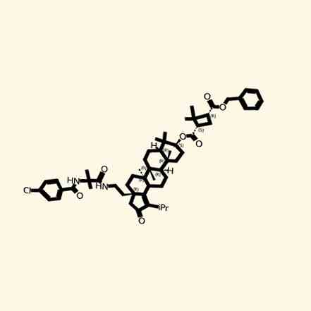 CC(C)C1=C2C3CC[C@@H]4[C@@]5(C)CC[C@H](OC(=O)[C@H]6C[C@@H](C(=O)OCc7ccccc7)C6(C)C)C(C)(C)[C@@H]5CC[C@@]4(C)[C@]3(C)CC[C@@]2(CCNC(=O)C(C)(C)NC(=O)c2ccc(Cl)cc2)CC1=O